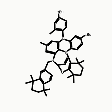 Cc1cc2c3c(c1)N(Cc1ccc4c(c1)C(C)(C)CCC4(C)C)C1C=C(B3c3ccc(C(C)(C)C)cc3N2c2ccc(C(C)(C)C)cc2C)C2=C(O1)C(C)(C)CCC2(C)C